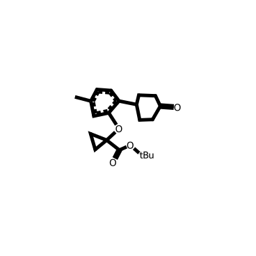 Cc1ccc(C2CCC(=O)CC2)c(OC2(C(=O)OC(C)(C)C)CC2)c1